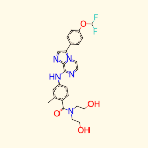 Cc1cc(Nc2nccn3c(-c4ccc(OC(F)F)cc4)cnc23)ccc1C(=O)N(CCO)CCO